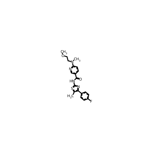 COCCN(C)c1ccc(C(=O)Nc2nc(-c3ccc(F)cc3)c(C)s2)cn1